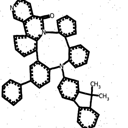 CC1(C)c2ccccc2-c2ccc(N3c4ccccc4-c4ccccc4-n4c(=O)c5ccncc5c5cccc(c54)-c4cc(-c5ccccc5)ccc43)cc21